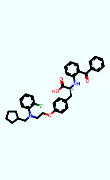 O=C(c1ccccc1)c1ccccc1N[C@@H](Cc1ccc(OCCN(CC2CCCC2)c2ccccc2Cl)cc1)C(=O)O